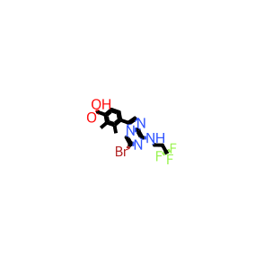 Cc1c(C(=O)O)ccc(-c2cnc3c(NCCC(F)(F)F)nc(Br)cn23)c1C